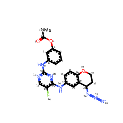 CNC(=O)Oc1cccc(Nc2ncc(F)c(Nc3ccc4c(c3)C(N=[N+]=[N-])CCO4)n2)c1